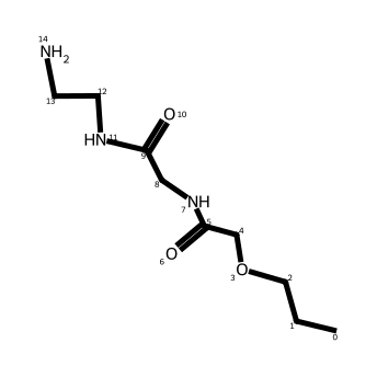 CCCOCC(=O)NCC(=O)NCCN